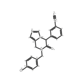 [C-]#[N+]c1cccc(C2C(=O)N(Cc3ccc(Cl)cc3)Cc3cncn32)c1